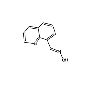 ON=Cc1cccc2cccnc12